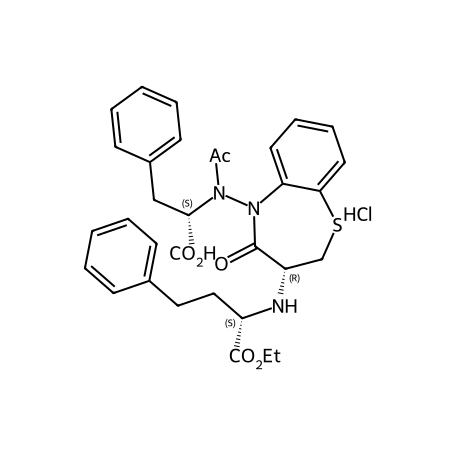 CCOC(=O)[C@H](CCc1ccccc1)N[C@H]1CSc2ccccc2N(N(C(C)=O)[C@@H](Cc2ccccc2)C(=O)O)C1=O.Cl